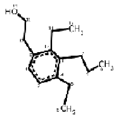 CCCc1c(CC)ccc(CCO)c1CC